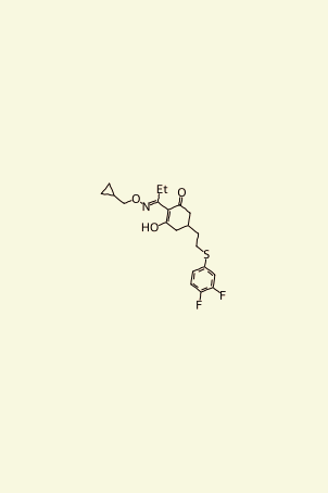 CCC(=NOCC1CC1)C1=C(O)CC(CCSc2ccc(F)c(F)c2)CC1=O